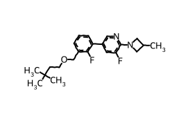 CC1CN(c2ncc(-c3cccc(COCCC(C)(C)C)c3F)cc2F)C1